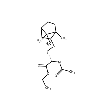 CCOC(=O)[C@H](CSC1CC2CCC1(C)C2(C)C)NC(C)=O